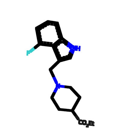 CCOC(=O)C1CCN(Cc2c[nH]c3cccc(F)c23)CC1